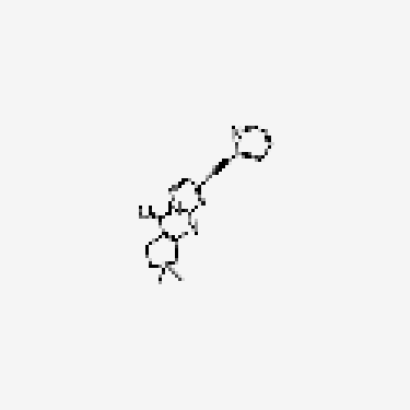 CC1(C)CCc2c(nc3cc(C#Cc4ccccn4)ccn3c2=O)C1